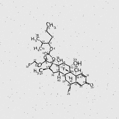 CCCC(OC(=O)O[C@]1(C(=O)OCF)[C@H](C)C[C@H]2[C@@H]3C[C@H](F)C4=CC(=O)C=C[C@]4(C)[C@@]3(F)[C@@H](O)C[C@@]21C)C(C)C